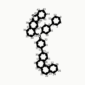 c1ccc(-c2ccc(N(c3ccc(-c4ccc5c(ccc6ccc7ccccc7c65)c4)cc3)c3cccc4cc5sc6ccccc6c5cc34)cc2)cc1